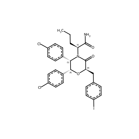 CCC[C@@H](C(N)=O)N1C(=O)[C@@H](Cc2ccc(I)cc2)O[C@H](c2ccc(Cl)cc2)[C@@H]1c1ccc(Cl)cc1